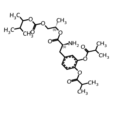 CC(C)C(=O)Oc1ccc(C[C@H](N)C(=O)O[C@@H](C)COC(=O)OC(C)C(C)C)cc1OC(=O)C(C)C